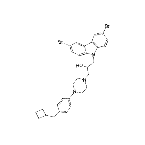 OC(CN1CCN(c2ccc(CC3CCC3)cc2)CC1)Cn1c2ccc(Br)cc2c2cc(Br)ccc21